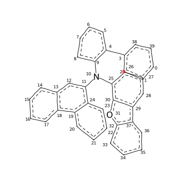 c1ccc(-c2ccccc2N(c2cc3ccccc3c3ccccc23)c2cccc3c2oc2ccccc23)cc1